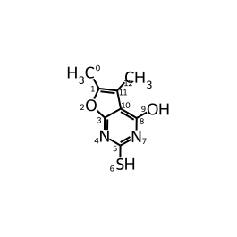 Cc1oc2nc(S)nc(O)c2c1C